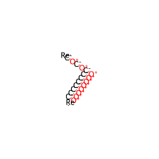 [C-]#[O+].[C-]#[O+].[C-]#[O+].[C-]#[O+].[C-]#[O+].[C-]#[O+].[C-]#[O+].[C-]#[O+].[C-]#[O+].[C-]#[O+].[Re].[Re]